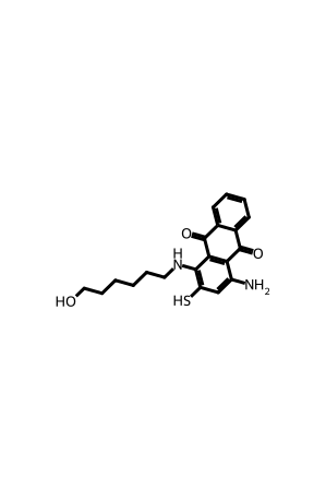 Nc1cc(S)c(NCCCCCCO)c2c1C(=O)c1ccccc1C2=O